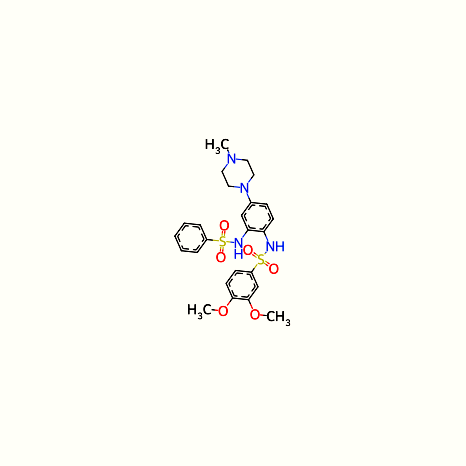 COc1ccc(S(=O)(=O)Nc2ccc(N3CCN(C)CC3)cc2NS(=O)(=O)c2ccccc2)cc1OC